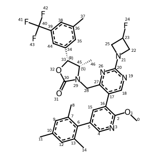 COc1ncc(-c2c(C)cc(C)cc2C)cc1-c1cnc(N2CC(F)C2)nc1CN1C(=O)O[C@H](c2cc(C)cc(C(F)(F)F)c2)[C@@H]1C